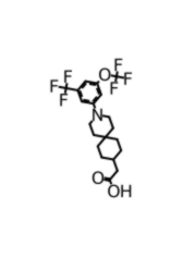 O=C(O)CC1CCC2(CC1)CCN(c1cc(OC(F)(F)F)cc(C(F)(F)F)c1)CC2